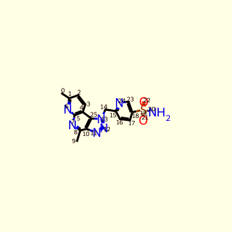 Cc1ccc2c(n1)nc(C)c1nnn(Cc3ccc(S(N)(=O)=O)cn3)c12